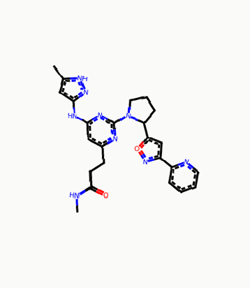 CNC(=O)CCc1cc(Nc2cc(C)[nH]n2)nc(N2CCCC2c2cc(-c3ccccn3)no2)n1